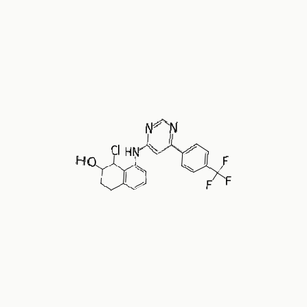 OC1CCc2cccc(Nc3cc(-c4ccc(C(F)(F)F)cc4)ncn3)c2C1Cl